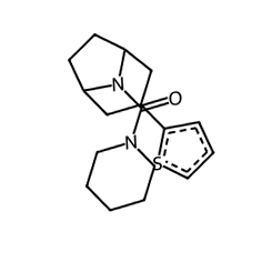 O=C(N1CCCCC1)N1C2CCC1CC(c1cccs1)C2